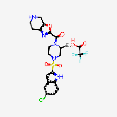 CCC1CN(S(=O)(=O)c2cc3cc(Cl)ccc3[nH]2)CCN1C(=O)c1nc2c(o1)CNCC2.O=C(O)C(F)(F)F